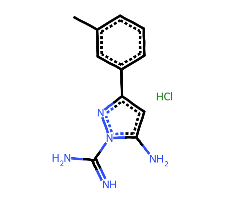 Cc1cccc(-c2cc(N)n(C(=N)N)n2)c1.Cl